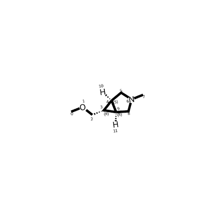 COC[C@@H]1[C@H]2CN(C)C[C@@H]12